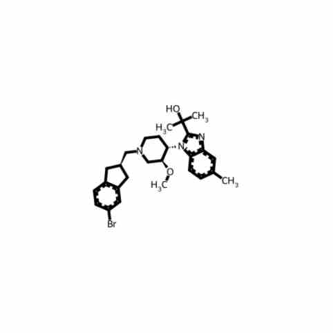 CO[C@H]1CN(C[C@@H]2Cc3ccc(Br)cc3C2)CC[C@@H]1n1c(C(C)(C)O)nc2cc(C)ccc21